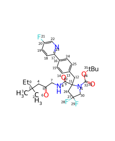 CCC(C)(C)CC(=O)CNC(=O)C1(Cc2ccc(-c3ccc(F)cn3)cc2)CC(F)(F)CN1C(=O)OC(C)(C)C